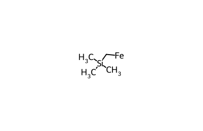 C[Si](C)(C)[CH2][Fe]